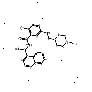 Cc1ccc(NCC2CCN(C)CC2)cc1C(=O)N[C@H](C)c1cccc2ccccc12